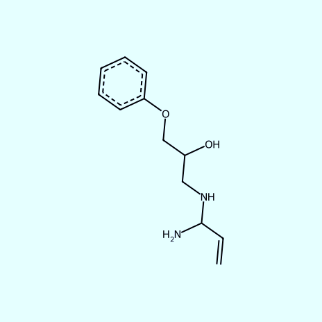 C=CC(N)NCC(O)COc1ccccc1